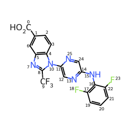 O=C(O)c1ccc2c(c1)nc(C(F)(F)F)n2-c1cnc(Nc2c(F)cccc2F)cn1